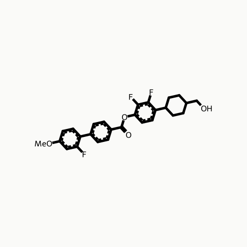 COc1ccc(-c2ccc(C(=O)Oc3ccc(C4CCC(CO)CC4)c(F)c3F)cc2)c(F)c1